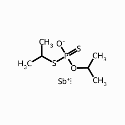 CC(C)OP([O-])(=S)SC(C)C.[Sb+]